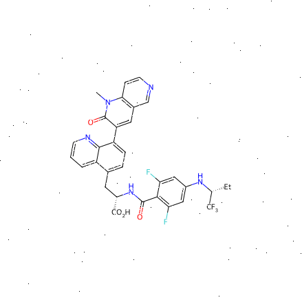 CC[C@@H](Nc1cc(F)c(C(=O)N[C@@H](Cc2ccc(-c3cc4cnccc4n(C)c3=O)c3ncccc23)C(=O)O)c(F)c1)C(F)(F)F